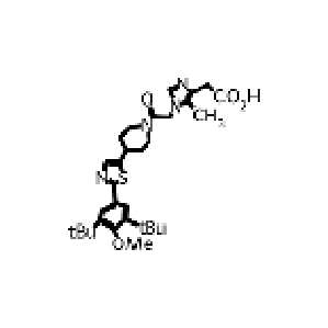 COc1c(C(C)(C)C)cc(-c2ncc(C3CCN(C(=O)Cn4cnc(CC(=O)O)c4C)CC3)s2)cc1C(C)(C)C